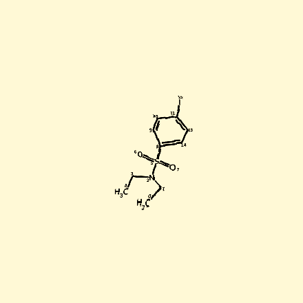 CCN(CC)S(=O)(=O)c1ccc(I)cc1